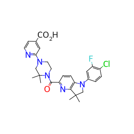 CC1(C)CN(c2ccc(Cl)c(F)c2)c2ccc(C(=O)N3CCN(c4cc(C(=O)O)ccn4)CC3(C)C)nc21